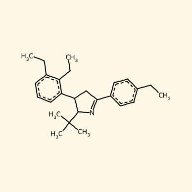 CCc1ccc(C2=NC(C(C)(C)C)C(c3cccc(CC)c3CC)C2)cc1